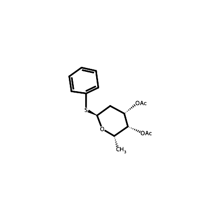 CC(=O)O[C@@H]1[C@H](C)O[C@@H](Sc2ccccc2)C[C@@H]1OC(C)=O